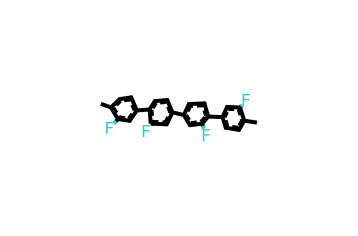 Cc1ccc(-c2ccc(-c3ccc(-c4ccc(C)c(F)c4)c(F)c3)cc2F)cc1F